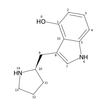 Oc1cccc2[nH]cc(C[C@H]3CCCN3)c12